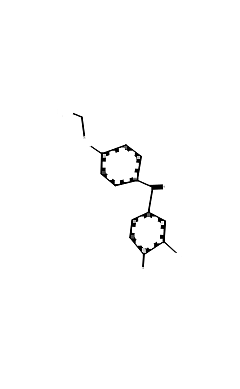 CCOc1ccc(C(=O)c2ccc(C)c(Br)c2)cc1